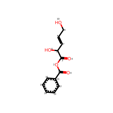 O=C(OC(=O)C(O)C=CCO)c1ccccc1